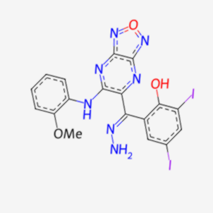 COc1ccccc1Nc1nc2nonc2nc1C(=NN)c1cc(I)cc(I)c1O